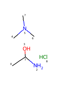 CC(N)O.CN(C)C.Cl